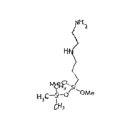 CO[Si](CCCNCCN)(OC)O[Si](C)(C)C